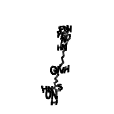 O=C(CCCCC1SCC2NC(=O)NC21)NCCCCCCNCc1ccc(C2(C(F)(F)F)N=N2)cn1